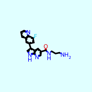 NCCCNC(=O)c1cnc2[nH]cc(-c3cc(F)c4ncccc4c3)c2c1